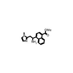 COC(=O)c1ccc(C(N)Cc2nccn2C)c2ccccc12